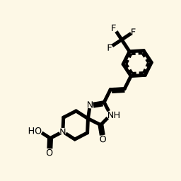 O=C(O)N1CCC2(CC1)N=C(/C=C/c1cccc(C(F)(F)F)c1)NC2=O